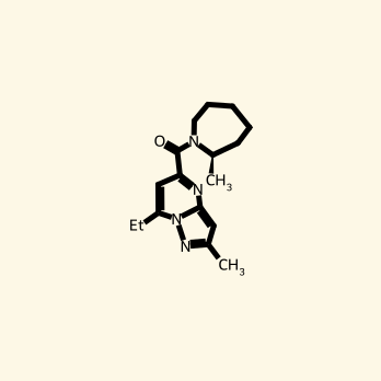 CCc1cc(C(=O)N2CCCCC[C@H]2C)nc2cc(C)nn12